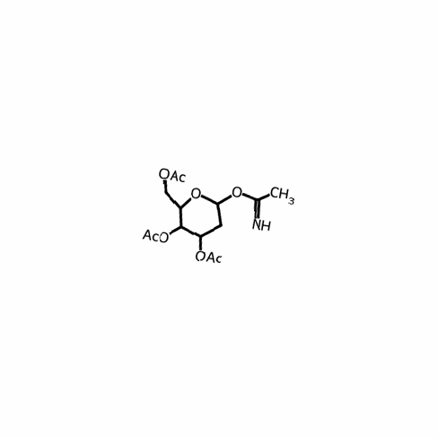 CC(=N)OC1CC(OC(C)=O)C(OC(C)=O)C(COC(C)=O)O1